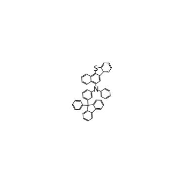 c1ccc(N(c2cccc(C3(c4ccccc4)c4ccccc4-c4ccccc43)c2)c2cc3c4ccccc4sc3c3ccccc23)cc1